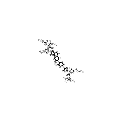 COC[C@H]1C[C@@H](c2ncc(-c3ccc4c(c3)COc3cc5c(ccc6nc([C@@H]7C[C@H](C)CN7C(=O)C(NC(=O)OC)C(C)C)[nH]c65)cc3-4)[nH]2)N(C(=O)OC(C)(C)C)C1